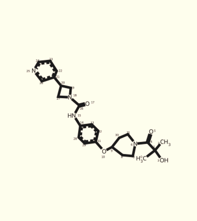 CC(C)(O)C(=O)N1CCC(Oc2ccc(NC(=O)N3CC(c4cccnc4)C3)cc2)CC1